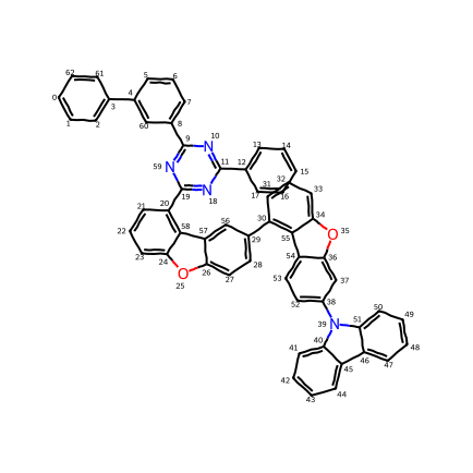 c1ccc(-c2cccc(-c3nc(-c4ccccc4)nc(-c4cccc5oc6ccc(-c7cccc8oc9cc(-n%10c%11ccccc%11c%11ccccc%11%10)ccc9c78)cc6c45)n3)c2)cc1